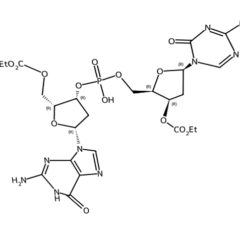 CCOC(=O)OC[C@H]1O[C@@H](n2cnc3c(=O)[nH]c(N)nc32)C[C@H]1OP(=O)(O)OC[C@H]1O[C@@H](n2cnc(N)nc2=O)C[C@H]1OC(=O)OCC